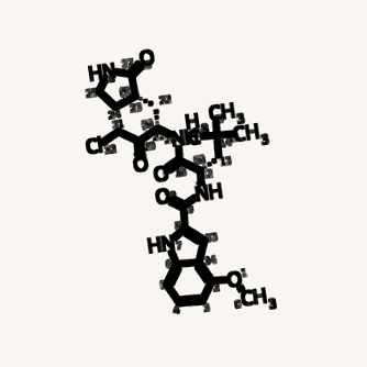 COc1cccc2[nH]c(C(=O)N[C@@H](CC(C)(C)C)C(=O)N[C@@H](C[C@@H]3CCNC3=O)C(=O)CCl)cc12